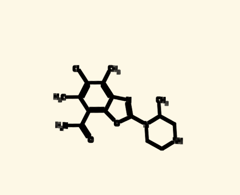 Cc1c(Cl)c(C)c2nc(N3CCNCC3C)oc2c1C(N)=O